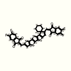 O=C1C(=CC2=Cc3sc4c(sc5c6sc(C=C7C(=O)c8cc(F)c(F)cc8C7=O)cc6sc45)c3C23CCCCC3)C(=O)c2cc(F)c(F)cc21